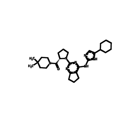 CC1(C)CCN(C(=O)[C@@H]2CCCN2c2nc3c(c(Nc4ncc(C5CCCCC5)[nH]4)n2)CCC3)CC1